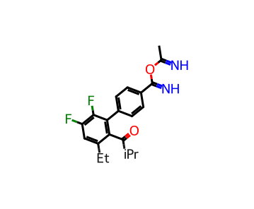 CCc1cc(F)c(F)c(-c2ccc(C(=N)OC(C)=N)cc2)c1C(=O)C(C)C